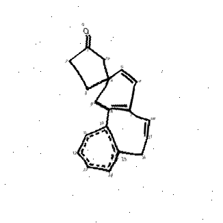 O=C1CCC2(C=CC3=C(C2)c2ccccc2CC=C3)C1